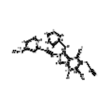 C#CCn1c(=O)c2c(nc(C#Cc3cccc(OC)c3)n2Cc2ccccc2)n(C)c1=O